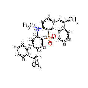 CC(=Cc1ccc2c(c1)S(=O)(=O)c1cc(C=C(C)c3ccccc3)ccc1N2C)c1ccccc1